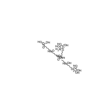 CC1C(OCCCC[C@H](O)NCCCC[C@@H](N[C@@H](O)CCCCOC2OC(CO)C(O)C(O)C2N)C(=O)NCCCCCC(=O)NCCCCCC(=O)N2C[C@H](O)C[C@H]2CO)OC(CO)C(O)C1O